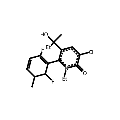 CCn1c(C2=C(F)C=CC(C)C2F)c(C(C)(O)CC)cc(Cl)c1=O